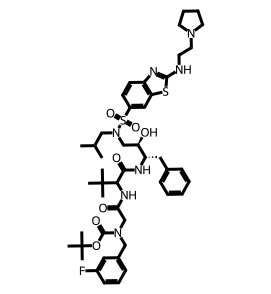 CC(C)CN(C[C@@H](O)[C@H](Cc1ccccc1)NC(=O)C(NC(=O)CN(Cc1cccc(F)c1)C(=O)OC(C)(C)C)C(C)(C)C)S(=O)(=O)c1ccc2nc(NCCN3CCCC3)sc2c1